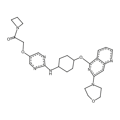 O=C(COc1cnc(NC2CCC(Oc3nc(N4CCOCC4)cc4ncccc34)CC2)nc1)N1CCC1